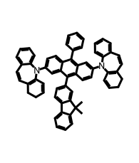 CC1(C)c2ccccc2-c2ccc(-c3c4ccc(N5C6=C(C=Cc7ccccc75)CCC=C6)cc4c(-c4ccccc4)c4ccc(N5C6=C(C=Cc7ccccc75)CCC=C6)cc34)cc21